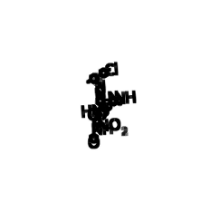 CC1=CC[C@@H](c2ccc(Cl)cc2)[C@H](CN2CCN(c3ccc(C(=O)NS(=O)(=O)c4ccc(NCC5CCOCC5)c([N+](=O)[O-])c4)c(Oc4cnc5[nH]ccc5c4)c3)CC2)C1